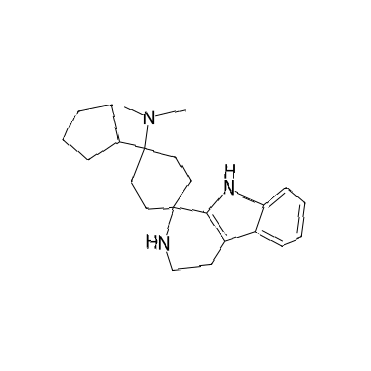 CN(C)C1(C2CCCC2)CCC2(CC1)NCCc1c2[nH]c2ccccc12